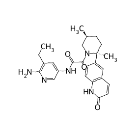 CCc1cc(NC(=O)C(=O)N2C[C@@H](C)CC[C@@]2(C)c2ccc3[nH]c(=O)ccc3c2)cnc1N